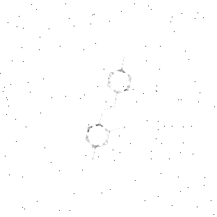 Cc1ccc(COc2ccc(C)cc2O)cc1